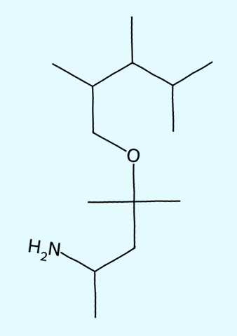 CC(N)CC(C)(C)OCC(C)C(C)C(C)C